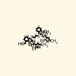 CCn1nc(C)cc1C(=O)/N=c1\n(C)c2ccccc2n1C/C=C/Cn1/c(=N/C(=O)c2cc(C)nn2CC)n(C)c2c(CO)cccc21